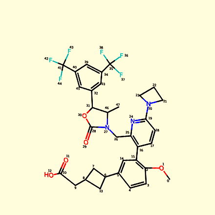 COc1ccc(C2CC(CC(=O)O)C2)cc1-c1ccc(N2CCC2)nc1CN1C(=O)OC(c2cc(C(F)(F)F)cc(C(F)(F)F)c2)C1C